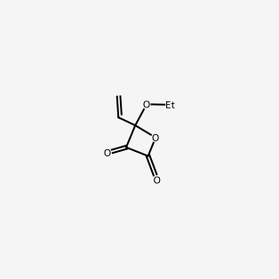 C=CC1(OCC)OC(=O)C1=O